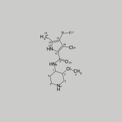 COC1CNCCC1NC(=O)c1[nH]c(C)c(CI)c1Cl